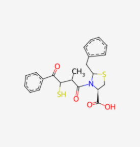 CC(C(=O)N1C(Cc2ccccc2)SC[C@H]1C(=O)O)C(S)C(=O)c1ccccc1